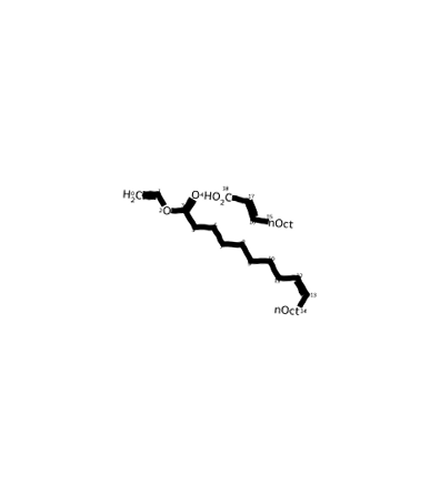 C=COC(=O)CCCCCCC/C=C\CCCCCCCC.CCCCCCCCC=CC(=O)O